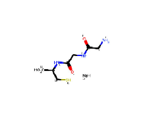 NCC(=O)NCC(=O)N[C@@H](CS)C(=O)O.[NaH]